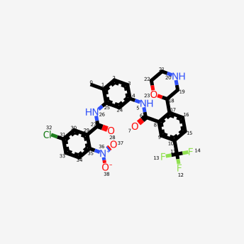 Cc1ccc(NC(=O)c2cc(C(F)(F)F)ccc2C2CNCCO2)cc1NC(=O)c1cc(Cl)ccc1[N+](=O)[O-]